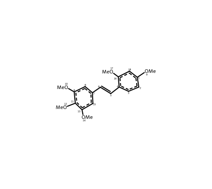 COc1ccc(C=Cc2cc(OC)c(OC)c(OC)c2)c(OC)c1